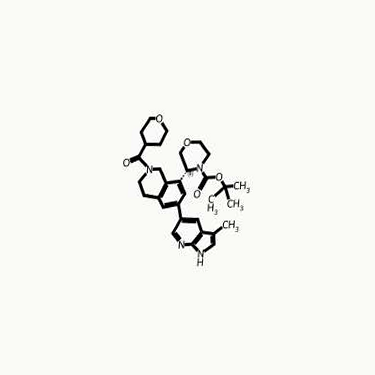 Cc1c[nH]c2ncc(-c3cc4c(c([C@@H]5COCCN5C(=O)OC(C)(C)C)c3)CN(C(=O)C3CCOCC3)CC4)cc12